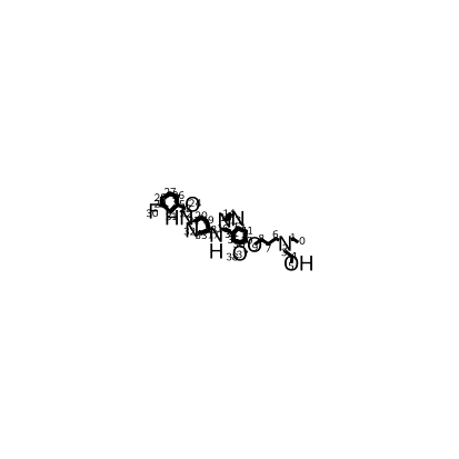 CCN(CCO)CCCOc1cc2ncnc(Nc3ccc(NC(=O)c4cccc(F)c4)nc3)c2cc1OC